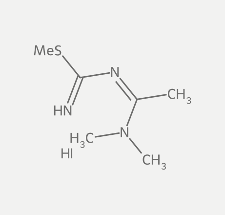 CSC(=N)N=C(C)N(C)C.I